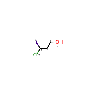 OCCC(Cl)I